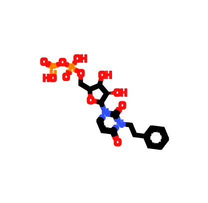 O=c1ccn(C2OC(COP(=O)(O)O[PH](=O)O)C(O)[C@@H]2O)c(=O)n1CCc1ccccc1